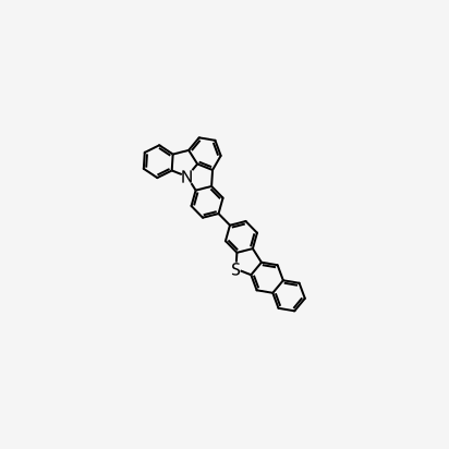 c1ccc2cc3c(cc2c1)sc1cc(-c2ccc4c(c2)c2cccc5c6ccccc6n4c52)ccc13